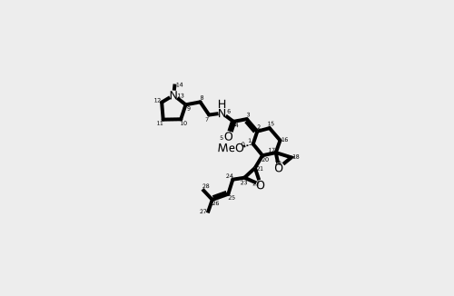 CO[C@@H]1/C(=C\C(=O)NCCC2CCCN2C)CCC2(CO2)C1C1OC1CC=C(C)C